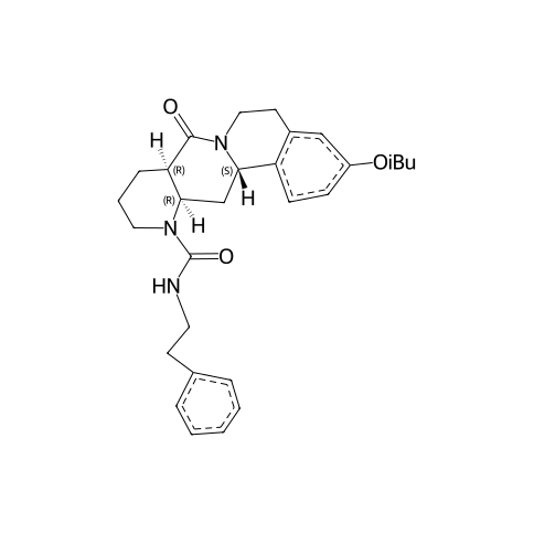 CC(C)COc1ccc2c(c1)CCN1C(=O)[C@@H]3CCCN(C(=O)NCCc4ccccc4)[C@@H]3C[C@@H]21